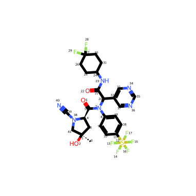 C[C@@]1(O)C[C@H](C(=O)N(c2ccc(S(F)(F)(F)(F)F)cc2)C(C(=O)NC2CCC(F)(F)CC2)c2cncnc2)N(C#N)C1